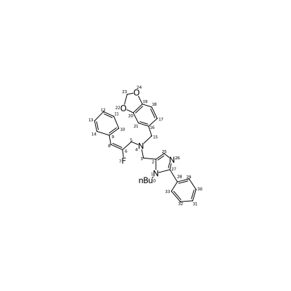 CCCCn1c(CN(C/C(F)=C\c2ccccc2)Cc2ccc3c(c2)OCO3)cnc1-c1ccccc1